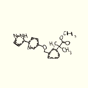 COC(=O)C(C)(C)c1cccc(COc2ccc(-c3ccn[nH]3)nc2)c1